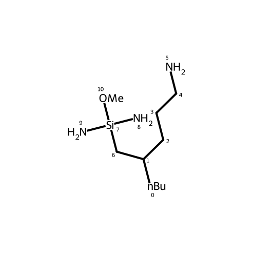 CCCCC(CCCN)C[Si](N)(N)OC